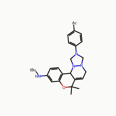 CC(=O)c1ccc(N2CN3CC=C4C(c5ccc(NC(C)(C)C)cc5OC4(C)C)N3C2)cc1